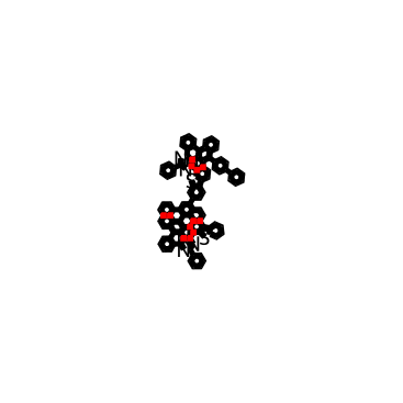 c1ccc(-c2ccc(-c3c4ccccc4c(-c4ccccc4-c4nc(-c5ccccc5)nc(-c5cccc6c5sc5cc(-c7cc(-c8ccccc8)c(-c8c9ccccc9c(-c9ccccc9-c9nc(-c%10ccccc%10)nc(-c%10cccc%11c%10sc%10ccccc%10%11)n9)c9ccccc89)c8ccccc78)ccc56)n4)c4ccccc34)cc2)cc1